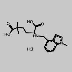 Cl.Cn1ccc2c(CN[C@@H](CCC(C)(C)C(=O)O)C(=O)O)cccc21